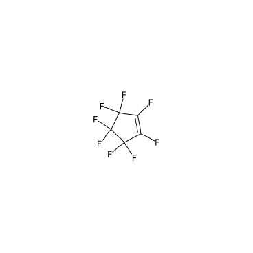 FC1=C(F)C(F)(F)C(F)(F)C1(F)F